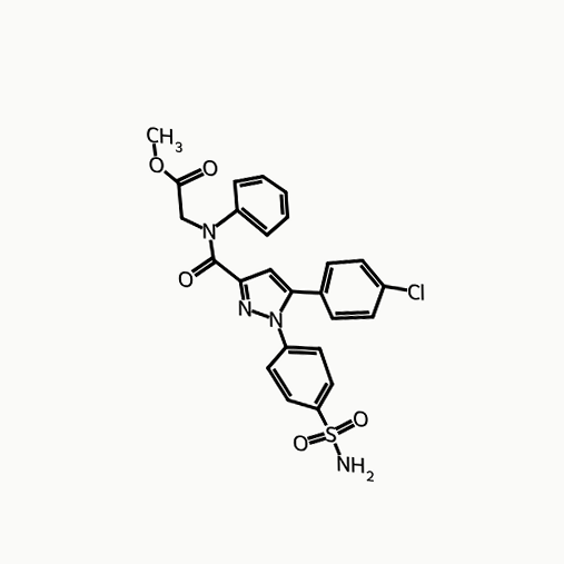 COC(=O)CN(C(=O)c1cc(-c2ccc(Cl)cc2)n(-c2ccc(S(N)(=O)=O)cc2)n1)c1ccccc1